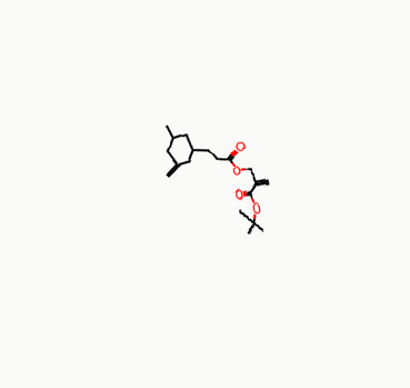 C=C1CC(C)CC(CCC(=O)OCC(=C)C(=O)OC(C)(C)C)C1